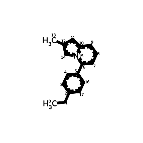 CCc1ccc(-c2cccc3cc(C)cn23)cc1